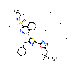 CC(NS(=O)(=O)c1ncc(-c2sc(-c3nnc(CC(C)(C)C(=O)O)o3)nc2CC2CCCCC2)c2ccccc12)C(F)(F)F